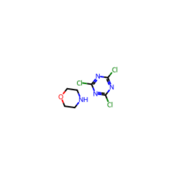 C1COCCN1.Clc1nc(Cl)nc(Cl)n1